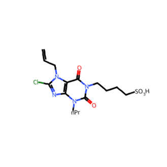 C=CCn1c(Cl)nc2c1c(=O)n(CCCCS(=O)(=O)O)c(=O)n2CCC